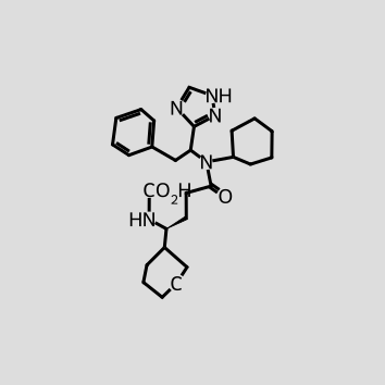 O=C(O)N[C@@H](CCC(=O)N(C1CCCCC1)C(Cc1ccccc1)c1nc[nH]n1)C1CCCCC1